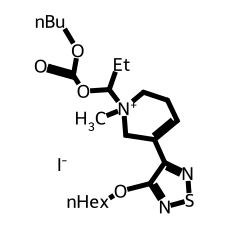 CCCCCCOc1nsnc1C1=CCC[N+](C)(C(CC)OC(=O)OCCCC)C1.[I-]